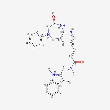 Cc1c(CN(C)C(=O)C=Cc2cnc3c(c2)CN(c2ccccc2)CC(=O)N3)n(C)c2ccccc12